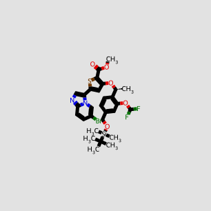 COC(=O)c1sc(-c2cnc3ccc(Br)cn23)cc1O[C@H](C)c1ccc(CO[Si](C)(C)C(C)(C)C)cc1OC(F)F